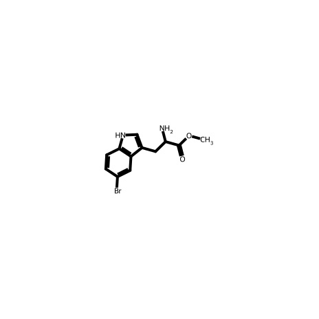 COC(=O)C(N)Cc1c[nH]c2ccc(Br)cc12